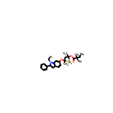 CC(C)Cn1c(-c2ccccc2)cc2ccc(OC(C)(S)CC(C)(C)OC(=O)C(C)(CC(C)(C)C)C(C)(C)C)cc21